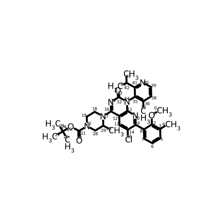 COc1c(C)cccc1-c1nc2c(cc1Cl)c(N1CCN(C(=O)OC(C)(C)C)CC1C)nc(=O)n2-c1c(C)ccnc1C(C)C